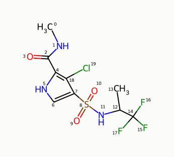 CNC(=O)c1[nH]cc(S(=O)(=O)NC(C)C(F)(F)F)c1Cl